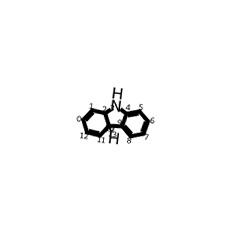 C1=CC2Nc3ccccc3[C@H]2C=C1